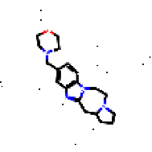 c1cc2c(cc1CN1CCOCC1)nc1n2CCN2CCCC2C1